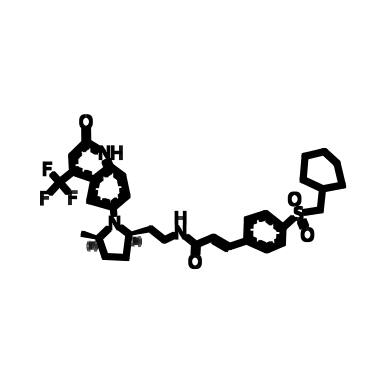 C[C@@H]1CC[C@H](CCNC(=O)C=Cc2ccc(S(=O)(=O)CC3CCCCC3)cc2)N1c1ccc2[nH]c(=O)cc(C(F)(F)F)c2c1